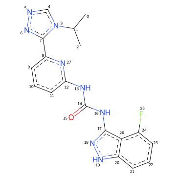 CC(C)n1cnnc1-c1cccc(NC(=O)Nc2n[nH]c3cccc(F)c23)n1